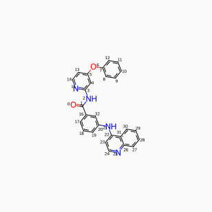 O=C(Nc1cc(Oc2ccccc2)ccn1)c1cccc(Nc2ccnc3ccccc23)c1